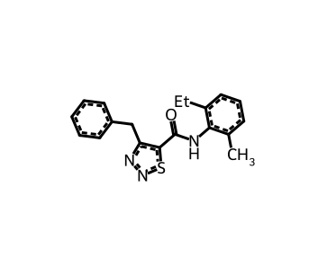 CCc1cccc(C)c1NC(=O)c1snnc1Cc1ccccc1